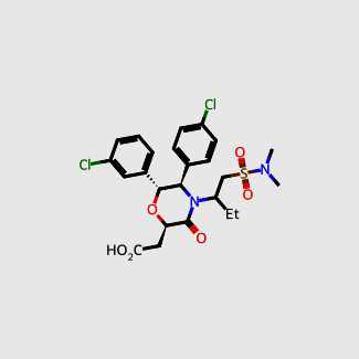 CCC(CS(=O)(=O)N(C)C)N1C(=O)[C@@H](CC(=O)O)O[C@H](c2cccc(Cl)c2)[C@H]1c1ccc(Cl)cc1